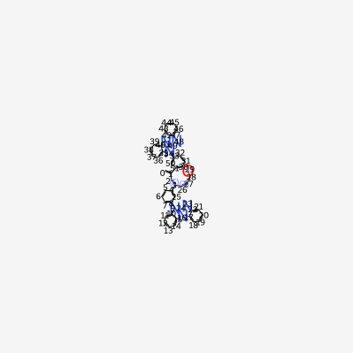 C=C1/C=C(c2cccc(-n3c4ccccc4n4c5ccccc5nc34)c2)\C=C/COc2ccc(-n3c4ccccc4n4c5ccccc5nc34)cc21